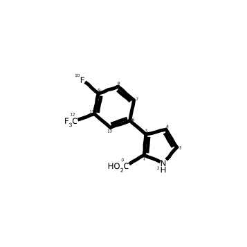 O=C(O)c1[nH]ccc1-c1ccc(F)c(C(F)(F)F)c1